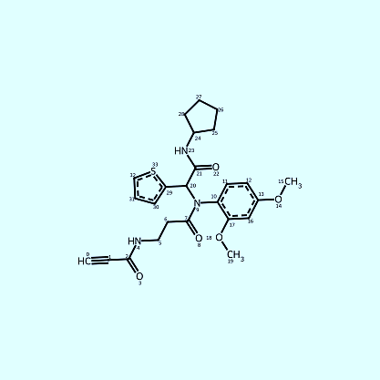 C#CC(=O)NCCC(=O)N(c1ccc(OC)cc1OC)C(C(=O)NC1CCCC1)c1cccs1